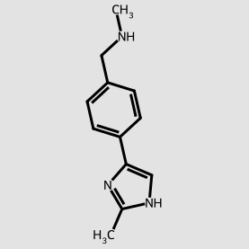 CNCc1ccc(-c2c[nH]c(C)n2)cc1